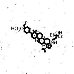 C=C(C)[C@@H]1CC[C@]2(NCCC(O)(CC)CC)CC[C@]3(C)[C@H](CC[C@@H]4[C@@]5(C)CC=C(C6=CC[C@](CF)(C(=O)O)CC6)C(C)(C)[C@@H]5CC[C@]43C)[C@@H]12